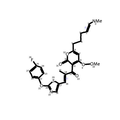 CN/C=C/CCCc1cc(OOC)c(C(=O)/C(C)=C/c2cnc(Oc3ccc(F)cc3)s2)c(=O)o1